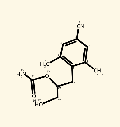 Cc1cc(C#N)cc(C)c1CC(CO)OC(N)=O